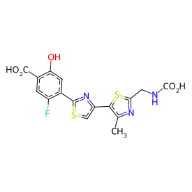 Cc1nc(CNC(=O)O)sc1-c1csc(-c2cc(O)c(C(=O)O)cc2F)n1